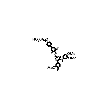 COc1cc(-c2nc(SCc3c(F)cc(-c4ccc(N(C)CCC(=O)O)cc4)cc3F)[nH]c2N(C)c2ccc(OC)c(OC)c2)ccc1F